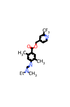 CCN(C)/C=N/c1cc(C)c(C(=O)OCc2ccnc(C(F)(F)F)c2)cc1C